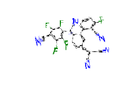 N#CC(C#N)=c1cc/c(=C(/C#N)c2c(F)c(F)c(C#N)c(F)c2F)c(-c2cccc(F)c2C#N)c1